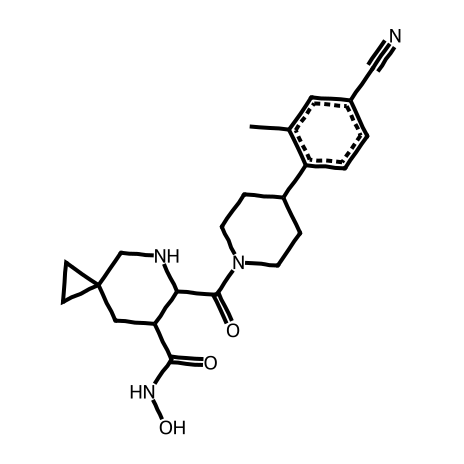 Cc1cc(C#N)ccc1C1CCN(C(=O)C2NCC3(CC3)CC2C(=O)NO)CC1